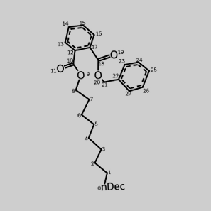 CCCCCCCCCCCCCCCCCCOC(=O)c1ccccc1C(=O)OCc1ccccc1